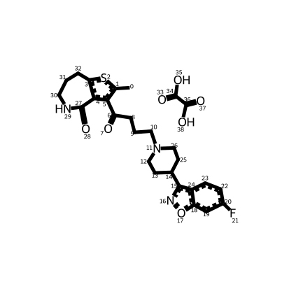 Cc1sc2c(c1C(=O)CCCN1CCC(c3noc4cc(F)ccc34)CC1)C(=O)NCCC2.O=C(O)C(=O)O